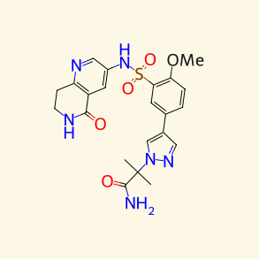 COc1ccc(-c2cnn(C(C)(C)C(N)=O)c2)cc1S(=O)(=O)Nc1cnc2c(c1)C(=O)NCC2